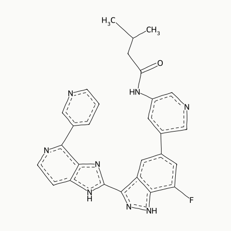 CC(C)CC(=O)Nc1cncc(-c2cc(F)c3[nH]nc(-c4nc5c(-c6cccnc6)nccc5[nH]4)c3c2)c1